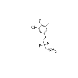 Cc1cc(CCC(F)(F)CN)cc(Cl)c1F